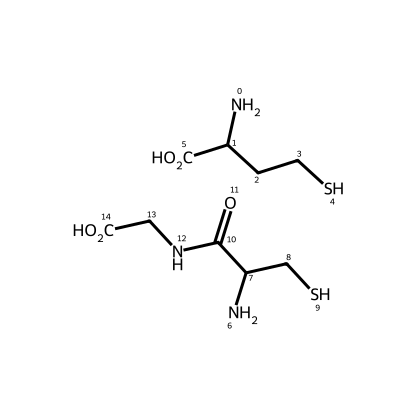 NC(CCS)C(=O)O.NC(CS)C(=O)NCC(=O)O